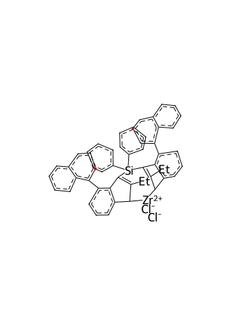 CCC1=C2c3c(-c4cccc5ccccc45)cccc3[CH]1[Zr+2][CH]1C(CC)=C(c3c(-c4cccc5ccccc45)cccc31)[Si]2(c1ccccc1)c1ccccc1.[Cl-].[Cl-]